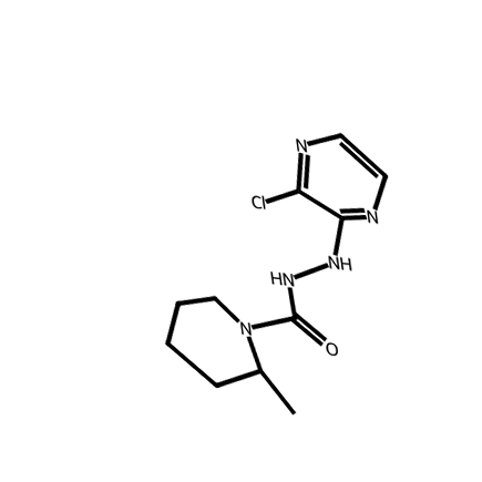 CC1CCCCN1C(=O)NNc1nccnc1Cl